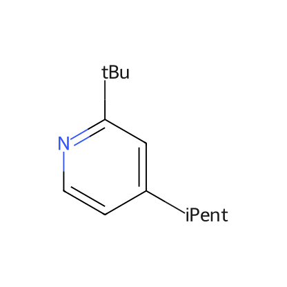 CCCC(C)c1ccnc(C(C)(C)C)c1